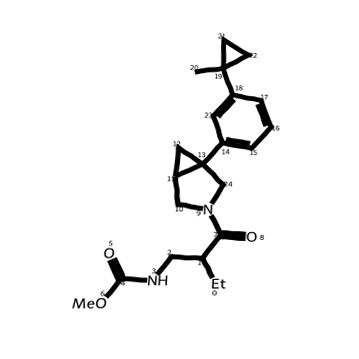 CCC(CNC(=O)OC)C(=O)N1CC2CC2(c2cccc(C3(C)CC3)c2)C1